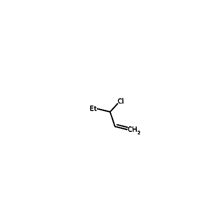 [CH2]CC(Cl)C=C